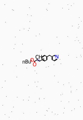 CCCCOC(=O)/C(C)=C/c1ccc(Cc2cccnc2)cc1